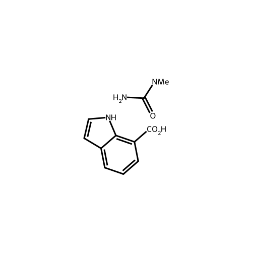 CNC(N)=O.O=C(O)c1cccc2cc[nH]c12